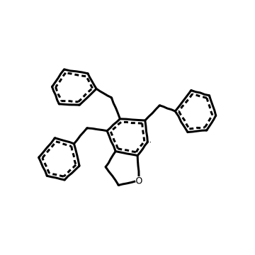 [c]1c(Cc2ccccc2)c(Cc2ccccc2)c(Cc2ccccc2)c2c1OCC2